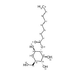 CCCCCCCCC(=O)O[C@@H]1[C@@H](O)[C@H](O)[C@@H](CO)O[C@H]1O